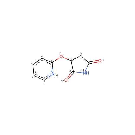 O=C1CC(Oc2ccccn2)C(=O)N1